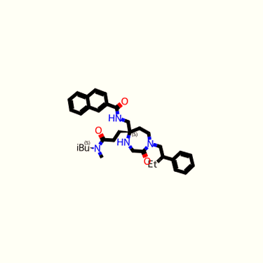 CCC(CN1CC[C@@](CCC(=O)N(C)[C@@H](C)CC)(CNC(=O)c2ccc3ccccc3c2)NCC1=O)c1ccccc1